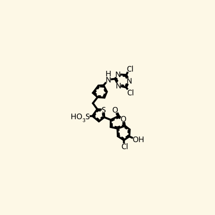 O=c1oc2cc(O)c(Cl)cc2cc1-c1cc(S(=O)(=O)O)c(Cc2ccc(Nc3nc(Cl)nc(Cl)n3)cc2)s1